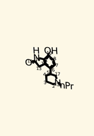 CCCN1CCCC(c2ccc(O)c3c2CC(=O)N3)C1